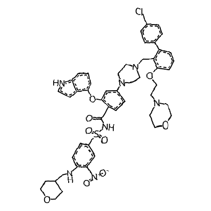 O=C(NS(=O)(=O)c1ccc(NCC2CCOCC2)c([N+](=O)[O-])c1)c1ccc(N2CCN(Cc3c(OCCN4CCOCC4)cccc3-c3ccc(Cl)cc3)CC2)cc1Oc1cccc2[nH]ccc12